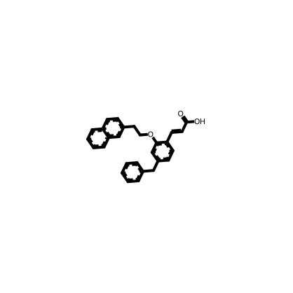 O=C(O)C=Cc1ccc(Cc2ccccc2)cc1OCCc1ccc2ccccc2c1